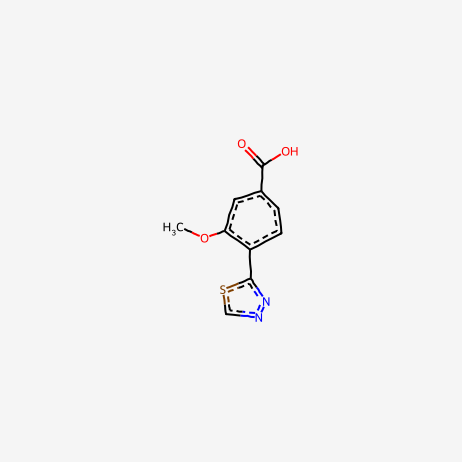 COc1cc(C(=O)O)ccc1-c1nncs1